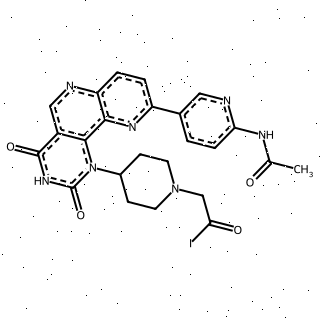 CC(=O)Nc1ccc(-c2ccc3ncc4c(=O)[nH]c(=O)n(C5CCN(CC(=O)I)CC5)c4c3n2)cn1